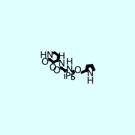 CC(C)C(NC(=S)OCc1ccc[nH]1)C(=O)NC1CCNC(=O)C1=O